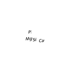 [Ca].[Mg].[P].[Si]